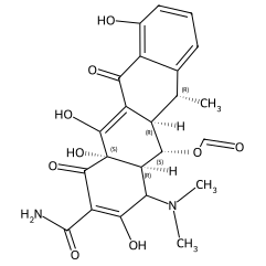 C[C@H]1c2cccc(O)c2C(=O)C2=C(O)[C@]3(O)C(=O)C(C(N)=O)=C(O)C(N(C)C)[C@@H]3[C@@H](OC=O)[C@@H]21